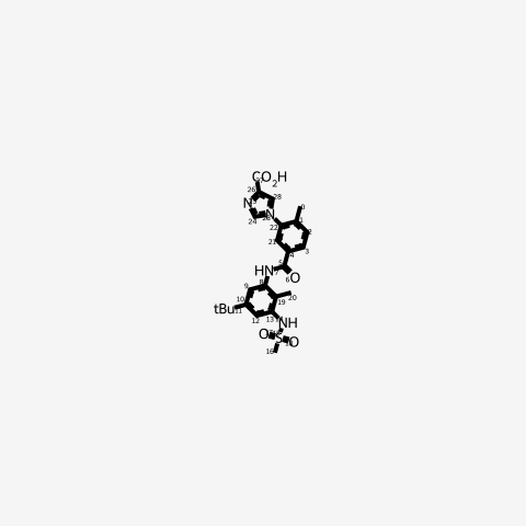 Cc1ccc(C(=O)Nc2cc(C(C)(C)C)cc(NS(C)(=O)=O)c2C)cc1-n1cnc(C(=O)O)c1